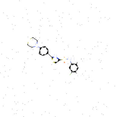 COc1cc(C(=O)O)c(F)cc1NS(=O)(=O)c1csc(-c2ccc(N3CCSCC3)cc2)n1